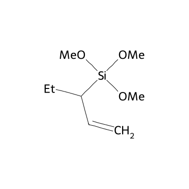 C=CC(CC)[Si](OC)(OC)OC